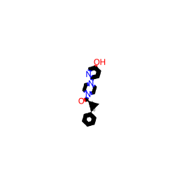 O=C([C@H]1C[C@@H]1c1ccccc1)N1CCN(c2ccc(O)cn2)CC1